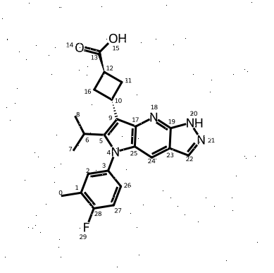 Cc1cc(-n2c(C(C)C)c([C@H]3C[C@H](C(=O)O)C3)c3nc4[nH]ncc4cc32)ccc1F